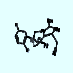 N#CCC1=C2[C@@H]3C[C@]3(c3cc(F)ccc3F)CN2C(S)N1